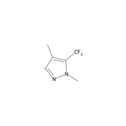 Cc1[c]nn(C)c1C(F)(F)F